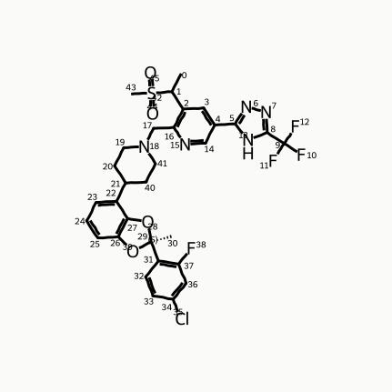 CC(c1cc(-c2nnc(C(F)(F)F)[nH]2)cnc1CN1CCC(c2cccc3c2O[C@@](C)(c2ccc(Cl)cc2F)O3)CC1)S(C)(=O)=O